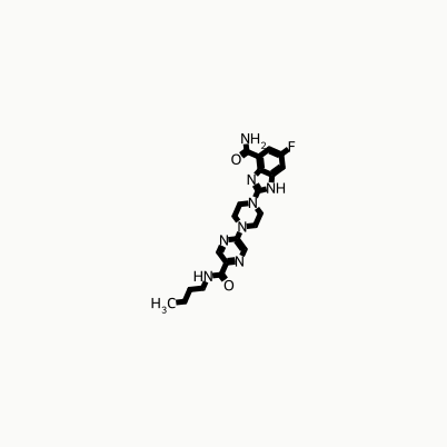 CCCCNC(=O)c1cnc(N2CCN(c3nc4c(C(N)=O)cc(F)cc4[nH]3)CC2)cn1